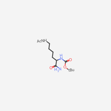 CC(=O)NCCCCC(NC(=O)OC(C)(C)C)C(N)=O